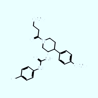 COCCC(=O)N1CCC(c2ccc(OC)cc2)[C@H](NC(=O)Nc2ccc(Cl)cc2)C1